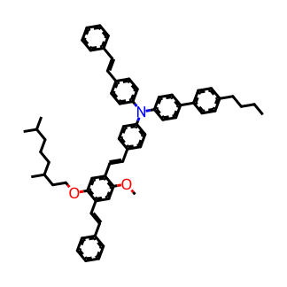 CCCCc1ccc(-c2ccc(N(c3ccc(C=Cc4ccccc4)cc3)c3ccc(C=Cc4cc(OCCC(C)CCCC(C)C)c(C=Cc5ccccc5)cc4OC)cc3)cc2)cc1